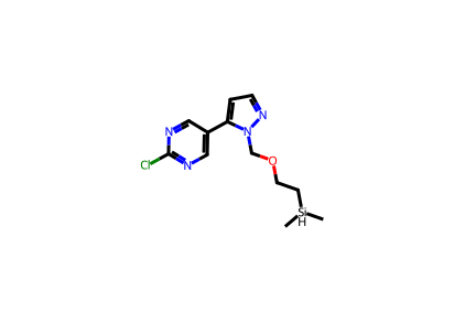 C[SiH](C)CCOCn1nccc1-c1cnc(Cl)nc1